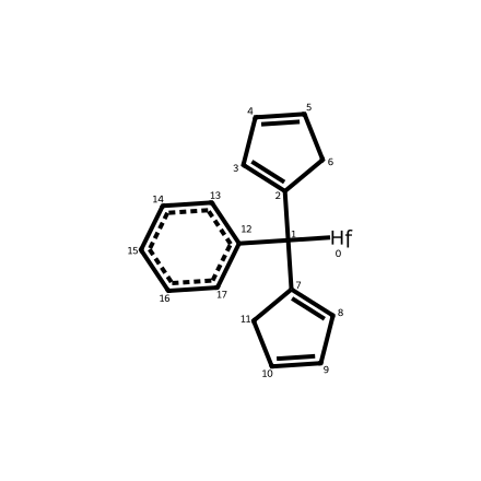 [Hf][C](C1=CC=CC1)(C1=CC=CC1)c1ccccc1